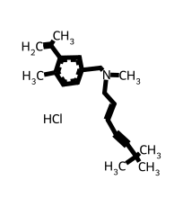 C=C(C)c1cc(CN(C)CC=CC#CC(C)(C)C)ccc1C.Cl